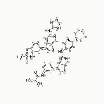 CC(C)C(=O)Nc1cccc(-c2csc3cnc(Nc4ccc(N5CCOCC5)nc4)nc23)c1.CS(=O)(=O)Nc1cccc(-c2csc3cnc(Nc4nnn[nH]4)nc23)c1